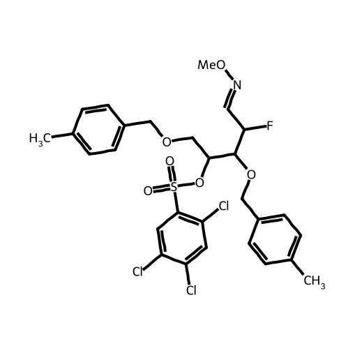 CON=CC(F)C(OCc1ccc(C)cc1)C(COCc1ccc(C)cc1)OS(=O)(=O)c1cc(Cl)c(Cl)cc1Cl